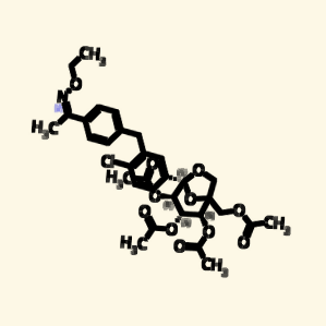 CCO/N=C(/C)c1ccc(Cc2cc([C@]34OCC(COC(C)=O)(O3)[C@@H](OC(C)=O)[C@H](OC(C)=O)[C@H]4OC(C)=O)ccc2Cl)cc1